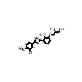 Cc1c(OC[C@H](O)CO)cccc1-c1nc(-c2ccc(OC(C)C)c(Cl)c2)no1